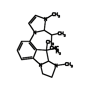 CC(C)C1N(C)C=CN1c1cccc2c1C(C)(C)C1N(C)CCN21